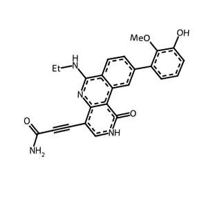 CCNc1nc2c(C#CC(N)=O)c[nH]c(=O)c2c2cc(-c3cccc(O)c3OC)ccc12